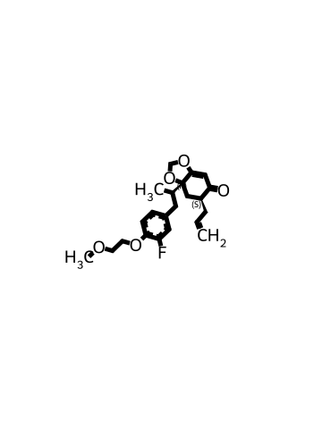 C=CC[C@H]1C[C@]2(C(C)Cc3ccc(OCCOC)c(F)c3)OCOC2=CC1=O